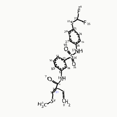 C=C/C(=C\SC)C(=O)Nc1cccc(S(=O)(=O)Nc2ccc(SC(F)F)cc2)c1